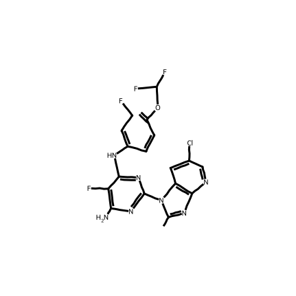 C=C(/C=C\C(=C/CF)Nc1nc(-n2c(C)nc3ncc(Cl)cc32)nc(N)c1F)OC(F)F